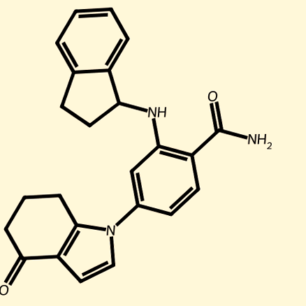 NC(=O)c1ccc(-n2ccc3c2CCCC3=O)cc1NC1CCc2ccccc21